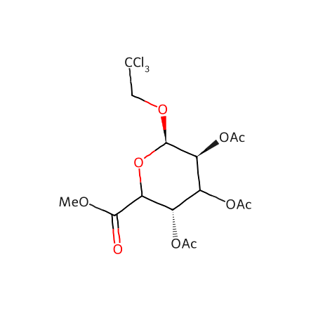 COC(=O)C1O[C@@H](OCC(Cl)(Cl)Cl)[C@@H](OC(C)=O)C(OC(C)=O)[C@@H]1OC(C)=O